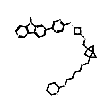 Cn1c2ccncc2c2ccc(-c3ccc(O[C@H]4C[C@H](OCC56CC7(COCCCCOC8CCCCO8)CC75C6)C4)nc3)cc21